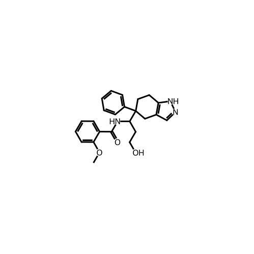 COc1ccccc1C(=O)NC(CCO)C1(c2ccccc2)CCc2[nH]ncc2C1